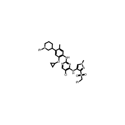 Cc1cc(Nc2ncc(Cl)c(Nc3cn(C)nc3S(=O)(=O)CC(C)C)n2)c(OC2CC2)cc1C1CCCN(C(C)C)C1